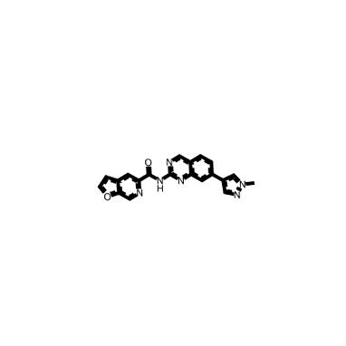 Cn1cc(-c2ccc3cnc(NC(=O)c4cc5ccoc5cn4)nc3c2)cn1